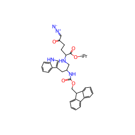 CC(C)OC(=O)C(CCC(=O)C=[N+]=[N-])NCC(Cc1c[nH]c2ccccc12)NC(=O)OCC1c2ccccc2-c2ccccc21